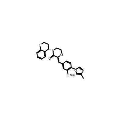 COc1cc(/C=C2\OCCN([C@H]3CCOc4ccccc43)C2=O)ccc1-n1cnc(C)c1